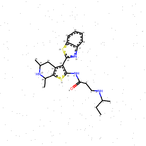 CCC(C)NCCC(=O)Nc1sc2c(c1-c1nc3ccccc3s1)CC(C)NC2C